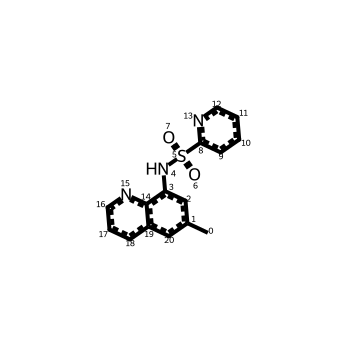 Cc1cc(NS(=O)(=O)c2ccccn2)c2ncccc2c1